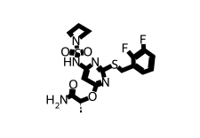 C[C@@H](Oc1cc(NS(=O)(=O)N2CCC2)nc(SCc2cccc(F)c2F)n1)C(N)=O